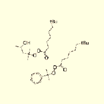 CC(C)(C)CCCCCC(=O)OOC(C)(C)c1ccccc1.CC(O)CC(C)(C)OOC(=O)CCCCCC(C)(C)C